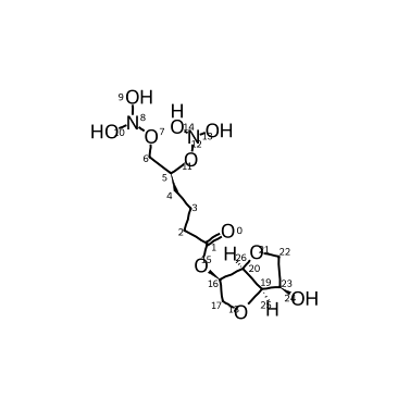 O=C(CCC[C@@H](CON(O)O)ON(O)O)O[C@@H]1CO[C@H]2[C@@H]1OC[C@H]2O